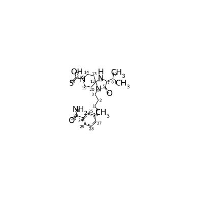 CCCCN1C(=O)C(C(C)C)NC12CCN(C(O)=S)CC2.NC(=O)c1ccccc1